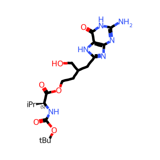 CC(C)[C@H](NC(=O)OC(C)(C)C)C(=O)OCCC(CO)Cc1nc2nc(N)[nH]c(=O)c2[nH]1